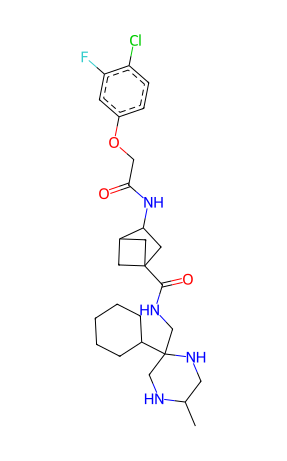 CC1CNC(CNC(=O)C23CC(C2)C(NC(=O)COc2ccc(Cl)c(F)c2)C3)(C2CCCCC2)CN1